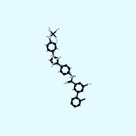 Cc1ccccc1-c1cc(F)cc(C(=O)Nc2ccc(-c3ncn(-c4ccc(OC(F)(F)F)cc4)n3)cc2)c1